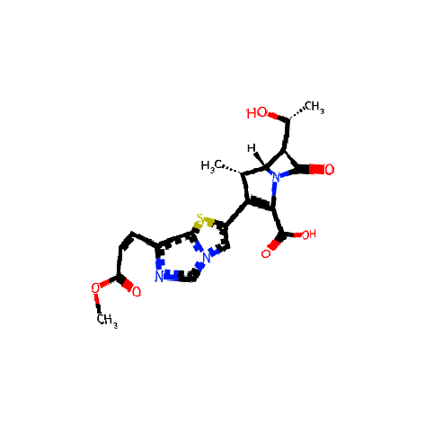 COC(=O)/C=C\c1ncn2cc(C3=C(C(=O)O)N4C(=O)[C@H]([C@@H](C)O)[C@H]4[C@H]3C)sc12